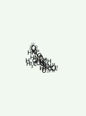 CC(C)(C)[C@H](NC(=O)c1cc2ccccc2[nH]1)C(=O)N1C[C@@H]2C[C@H]1CN2C(=O)[C@@H]1Cc2ccccc2N1